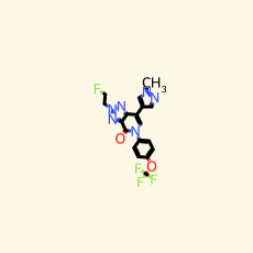 Cn1cc(-c2cn(-c3ccc(OC(F)(F)F)cc3)c(=O)c3nn(CCF)nc23)cn1